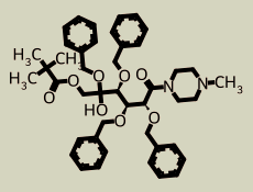 CN1CCN(C(=O)[C@H](OCc2ccccc2)[C@@H](OCc2ccccc2)[C@H](OCc2ccccc2)C(O)(COC(=O)C(C)(C)C)OCc2ccccc2)CC1